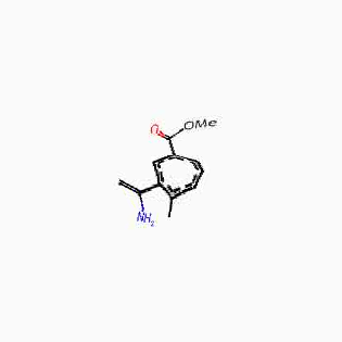 C=C(N)c1cc(C(=O)OC)ccc1C